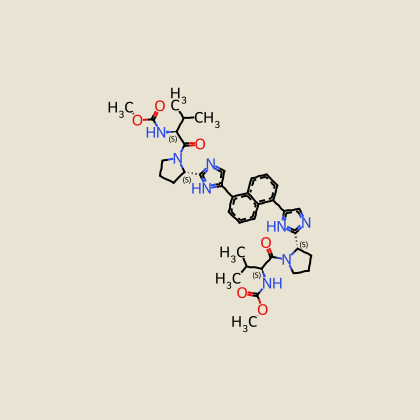 COC(=O)N[C@H](C(=O)N1CCC[C@H]1c1ncc(-c2cccc3c(-c4cnc([C@@H]5CCCN5C(=O)[C@@H](NC(=O)OC)C(C)C)[nH]4)cccc23)[nH]1)C(C)C